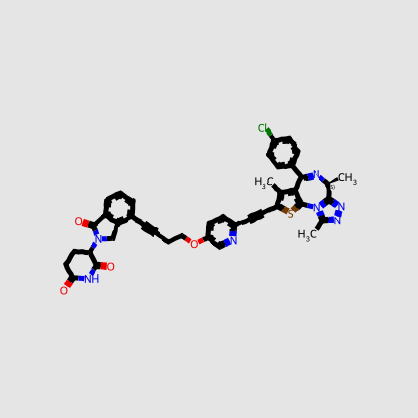 Cc1c(C#Cc2ccc(OCCC#Cc3cccc4c3CN(C3CCC(=O)NC3=O)C4=O)cn2)sc2c1C(c1ccc(Cl)cc1)=N[C@@H](C)c1nnc(C)n1-2